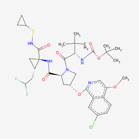 COc1cnc(O[C@@H]2C[C@@H](C(=O)N[C@]3(C(=O)NSC4CC4)C[C@H]3CC(F)F)N(C(=O)[C@@H](NC(=O)OC(C)(C)C)C(C)(C)C)C2)c2cc(Cl)ccc12